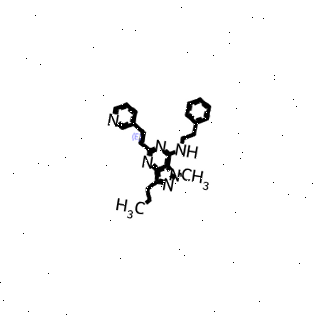 CCCc1nn(C)c2c(NCCc3ccccc3)nc(/C=C/c3cccnc3)nc12